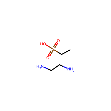 CCS(=O)(=O)O.NCCN